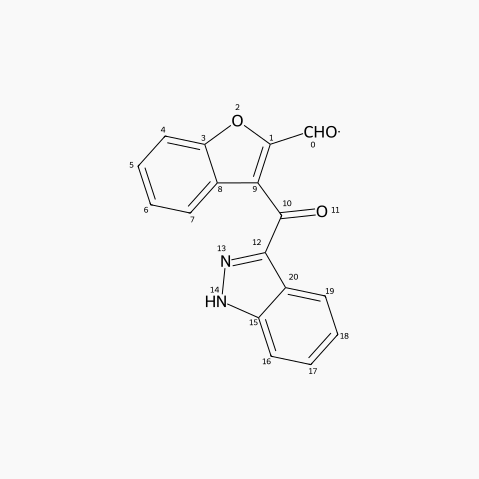 O=[C]c1oc2ccccc2c1C(=O)c1n[nH]c2ccccc12